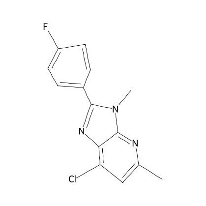 Cc1cc(Cl)c2nc(-c3ccc(F)cc3)n(C)c2n1